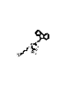 NC(=O)[C@H](CCCCNF)NC(=O)OCC1c2ccccc2-c2ccccc21